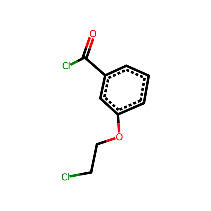 O=C(Cl)c1cccc(OCCCl)c1